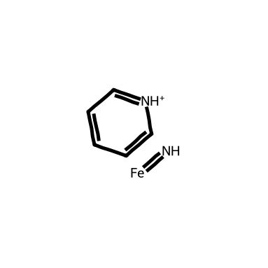 [NH]=[Fe].c1cc[nH+]cc1